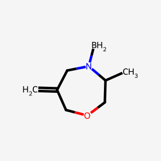 BN1CC(=C)COCC1C